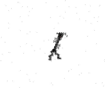 CCCCc1nc2c(N)nc3ccccc3c2n1Cc1ccc(C(=O)NCCCNCCCCNCCCNCCCP(=O)(OCCC(C)CCCC(C)CCCC(C)CCCC(C)C)OC(C)CCCC(C)CCCC(C)CCCC(C)CCC)cc1